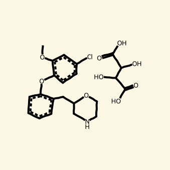 COc1cc(Cl)ccc1Oc1ccccc1CC1CNCCO1.O=C(O)C(O)C(O)C(=O)O